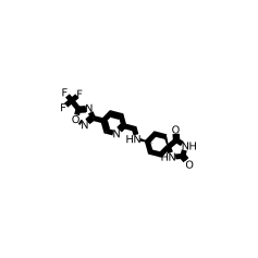 O=C1NC(=O)[C@]2(CC[C@H](NCc3ccc(-c4noc(C(F)(F)F)n4)cn3)CC2)N1